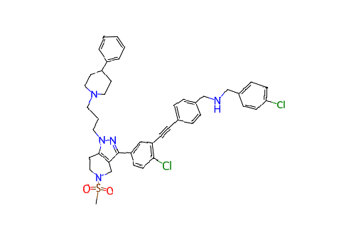 CS(=O)(=O)N1CCc2c(c(-c3ccc(Cl)c(C#Cc4ccc(CNCc5ccc(Cl)cc5)cc4)c3)nn2CCCN2CCC(c3ccccc3)CC2)C1